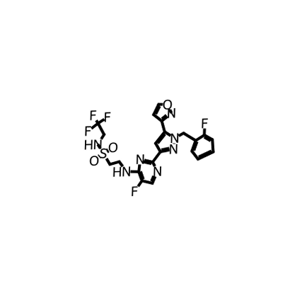 O=S(=O)(CCNc1nc(-c2cc(-c3ccon3)n(Cc3ccccc3F)n2)ncc1F)NCC(F)(F)F